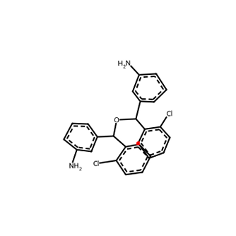 Nc1cccc(C(OC(c2cccc(N)c2)c2ccccc2Cl)c2ccccc2Cl)c1